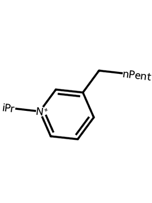 CCCCCCc1ccc[n+](C(C)C)c1